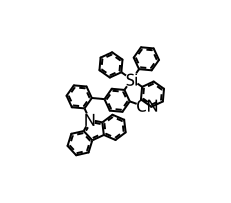 N#Cc1ccc(-c2ccccc2-n2c3ccccc3c3ccccc32)cc1[Si](c1ccccc1)(c1ccccc1)c1ccccc1